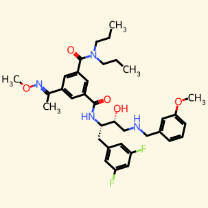 CCCN(CCC)C(=O)c1cc(C(=O)N[C@@H](Cc2cc(F)cc(F)c2)[C@H](O)CNCc2cccc(OC)c2)cc(/C(C)=N/OC)c1